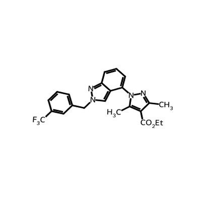 CCOC(=O)c1c(C)nn(-c2cccc3nn(Cc4cccc(C(F)(F)F)c4)cc23)c1C